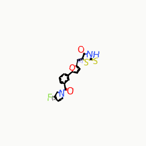 O=C1NC(=S)S/C1=C\c1ccc(-c2cccc(C(=O)N3CC[C@H](F)C3)c2)o1